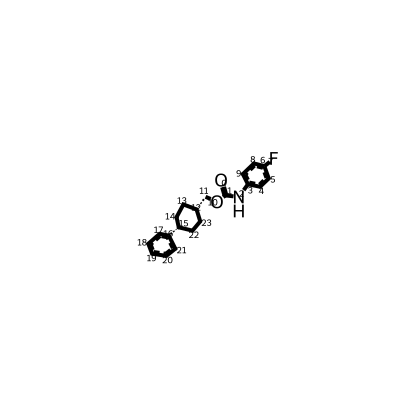 O=C(Nc1ccc(F)cc1)OC[C@H]1CC[C@@H](c2ccccc2)CC1